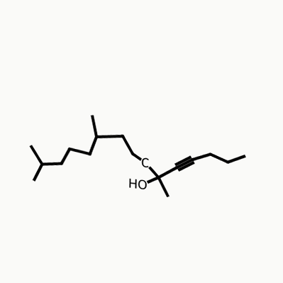 CCCC#CC(C)(O)CCCC(C)CCCC(C)C